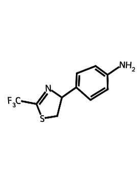 Nc1ccc(C2CSC(C(F)(F)F)=N2)cc1